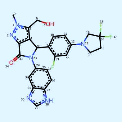 Cn1nc2c(c1CO)C(c1ccc(N3CCC(F)(F)C3)cc1F)N(c1ccc3[nH]cnc3c1)C2=O